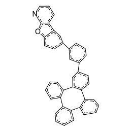 c1cc(-c2ccc3c(c2)-c2ccccc2-c2ccccc2-c2ccccc2-3)cc(-c2ccc3oc4ncccc4c3c2)c1